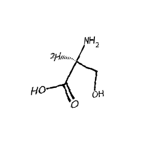 [2H][C@](N)(CO)C(=O)O